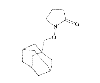 O=C1CCCN1OCC12CC3CC(CC(C3)C1)C2